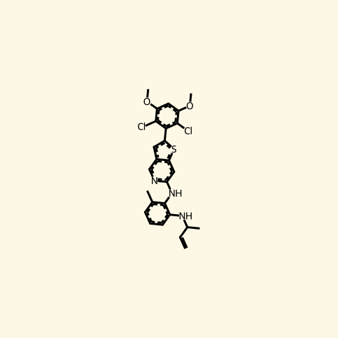 C=CC(C)Nc1cccc(C)c1Nc1cc2sc(-c3c(Cl)c(OC)cc(OC)c3Cl)cc2cn1